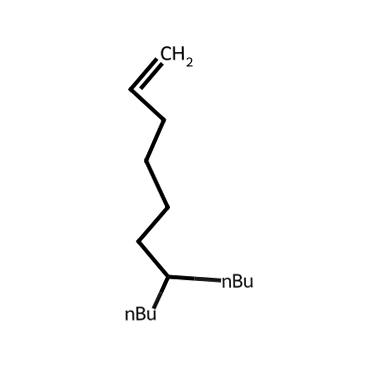 C=CCCCCC(CCCC)CCCC